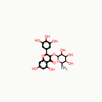 CC1OC(Oc2c(-c3cc(O)c(O)c(O)c3)oc3cc(O)cc(O)c3c2=O)C(O)C(O)[C@H]1O